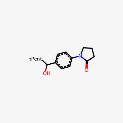 CCCCCC(O)c1ccc(N2CCCC2=O)cc1